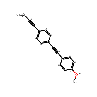 CCCCCCCC#Cc1ccc(C#Cc2ccc(OCC)cc2)cc1